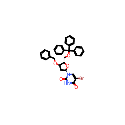 O=c1[nH]c(=O)n([C@@H]2CC(OCc3ccccc3)[C@H](COC(c3ccccc3)(c3ccccc3)c3ccccc3)O2)cc1Br